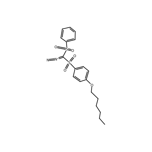 CCCCCCOc1ccc(S(=O)(=O)C(=[N+]=[N-])S(=O)(=O)c2ccccc2)cc1